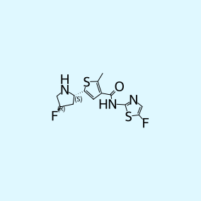 Cc1sc([C@@H]2C[C@@H](F)CN2)cc1C(=O)Nc1ncc(F)s1